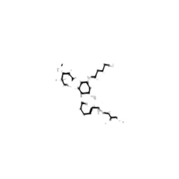 CN[C@@H]1[C@@H](O)[C@@H](O[C@@H]2[C@@H](O)[C@H](O[C@@H]3CCC=C(CNCC(O)CO)O3)[C@@H](N)C[C@H]2NC(=O)CCCN)OC[C@H]1C